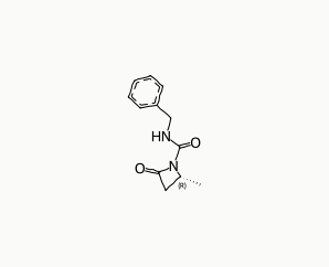 C[C@@H]1CC(=O)N1C(=O)NCc1ccccc1